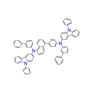 c1ccc(-c2cccc(N(c3ccc(-c4cccc5c(N(c6cccc(-c7ccccc7)c6)c6ccc7c(c6)c6ccccc6n7-c6ccccc6)cccc45)cc3)c3ccc4c(c3)c3ccccc3n4-c3ccccc3)c2)cc1